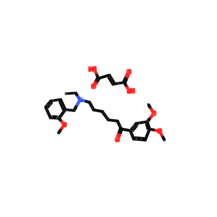 CCN(CCCCCC(=O)c1ccc(OC)c(OC)c1)Cc1ccccc1OC.O=C(O)/C=C/C(=O)O